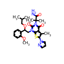 COc1ccccc1C(Cn1c(=O)n(C(C)(C)C(N)=O)c(=O)c2c(C)c(-n3cccn3)sc21)OCC(C)C